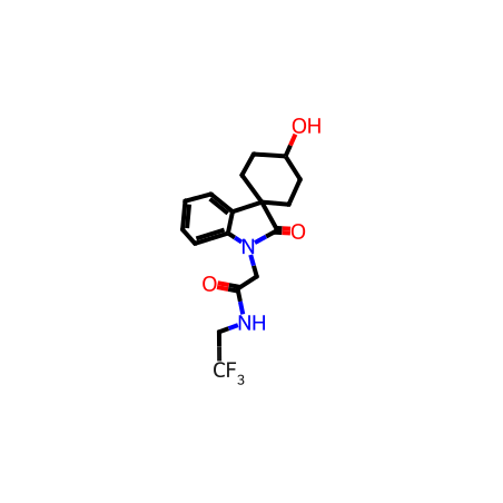 O=C(CN1C(=O)C2(CCC(O)CC2)c2ccccc21)NCC(F)(F)F